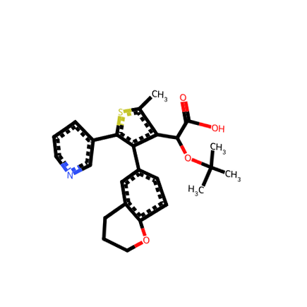 Cc1sc(-c2cccnc2)c(-c2ccc3c(c2)CCCO3)c1C(OC(C)(C)C)C(=O)O